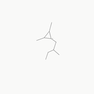 CCC(C)C[C]1C(C)C1C